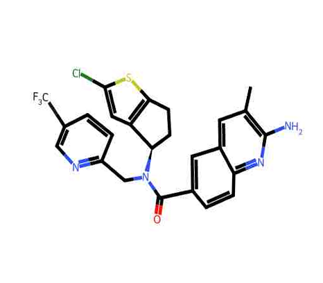 Cc1cc2cc(C(=O)N(Cc3ccc(C(F)(F)F)cn3)[C@@H]3CCc4sc(Cl)cc43)ccc2nc1N